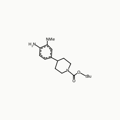 CNc1cc(C2CCN(C(=O)OC(C)(C)C)CC2)ccc1N